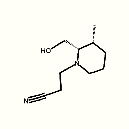 C[C@@H]1CCCN(CCC#N)[C@@H]1CO